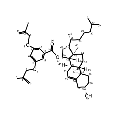 C=C(C)COc1cc(OCC(=C)C)cc(C(=O)O)c1.CC(C)CCC[C@@H](C)[C@H]1CC[C@H]2[C@@H]3CC=C4C[C@@H](O)CC[C@]4(C)[C@H]3CC[C@]12C